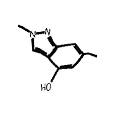 Cc1cc(O)c2cn(C)nc2c1